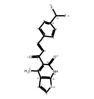 Cc1c(C(=O)C=Cc2ccc(C(F)F)cc2)c(=O)[nH]c2sccc12